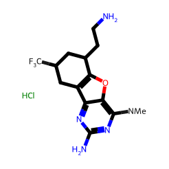 CNc1nc(N)nc2c3c(oc12)C(CCN)CC(C(F)(F)F)C3.Cl